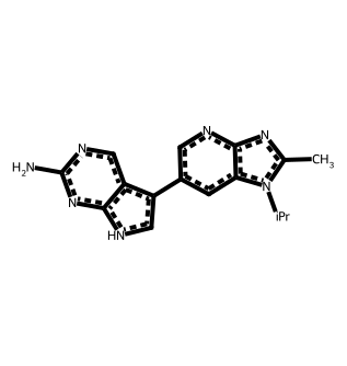 Cc1nc2ncc(-c3c[nH]c4nc(N)ncc34)cc2n1C(C)C